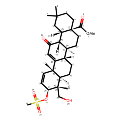 COC(=O)[C@]12CCC(C)(C)C[C@H]1[C@H]1C(=O)C=C3[C@@]4(C)C=C[C@H](OS(C)(=O)=O)[C@@](C)(CO)[C@@H]4CC[C@@]3(C)[C@]1(C)CC2